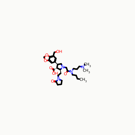 CCCCN(CCCN(C)C)C(=O)CN1C[C@H](c2cc(CO)c3c(c2)OCO3)[C@@H](C(=O)O)[C@@H]1CCN1CCCC1=O